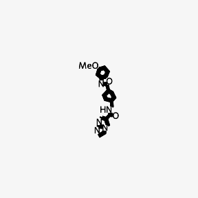 COc1ccc2oc(-c3ccc(CNC(=O)c4cnc5nccn5c4)cc3)nc2c1